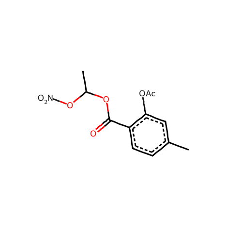 CC(=O)Oc1cc(C)ccc1C(=O)OC(C)O[N+](=O)[O-]